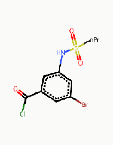 CCCS(=O)(=O)Nc1cc(Br)cc(C(=O)Cl)c1